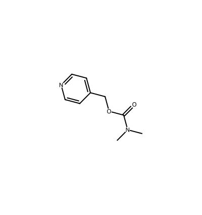 CN(C)C(=O)OCc1ccncc1